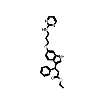 CCOC(=O)CC(c1ccccc1)c1c[nH]c2cc(OCCCNc3ncccn3)ccc12